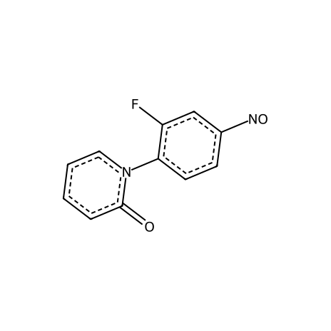 O=Nc1ccc(-n2ccccc2=O)c(F)c1